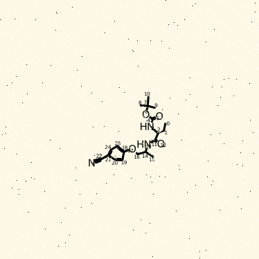 CC[C@H](NC(=O)OC(C)(C)C)C(=O)NC(C)COc1ccc(C#N)cc1